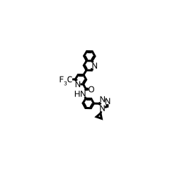 O=C(Nc1cccc(-c2nncn2C2CC2)c1)c1cc(-c2cnc3ccccc3c2)cc(C(F)(F)F)n1